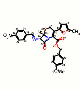 COc1ccc(COC(=O)C2=C(c3ccc(C)o3)CS[C@H]3[C@H](N=Cc4ccc([N+](=O)[O-])cc4)C(=O)N23)cc1